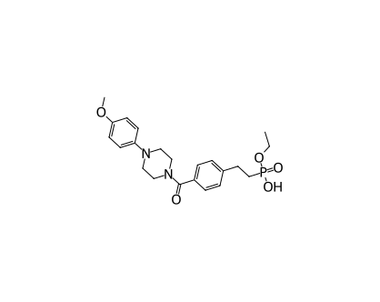 CCOP(=O)(O)CCc1ccc(C(=O)N2CCN(c3ccc(OC)cc3)CC2)cc1